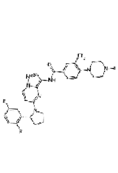 O=C(Nc1cnn2ccc(N3CCC[C@@H]3c3cc(F)ccc3F)nc12)c1ccc(N2CCN(I)CC2)c(C(F)(F)F)c1